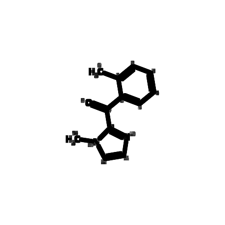 Cc1ccccc1C(=O)c1nccn1C